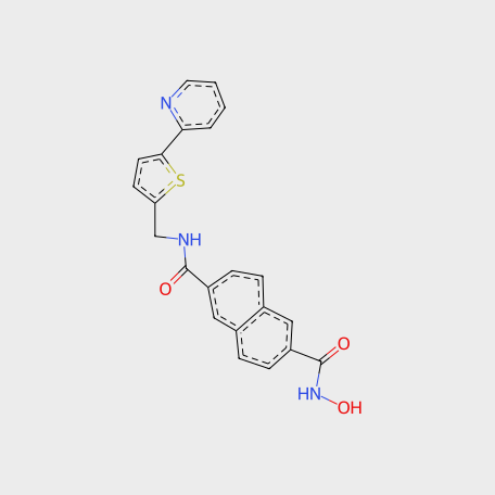 O=C(NO)c1ccc2cc(C(=O)NCc3ccc(-c4ccccn4)s3)ccc2c1